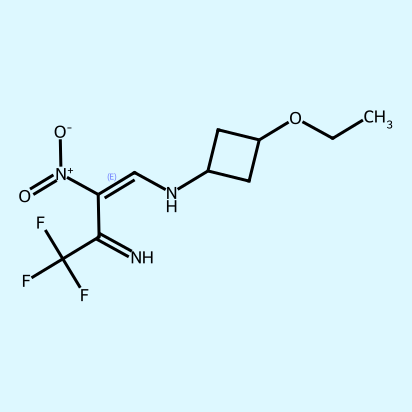 CCOC1CC(N/C=C(\C(=N)C(F)(F)F)[N+](=O)[O-])C1